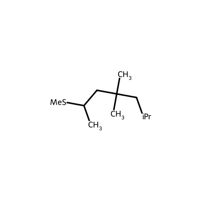 CSC(C)CC(C)(C)CC(C)C